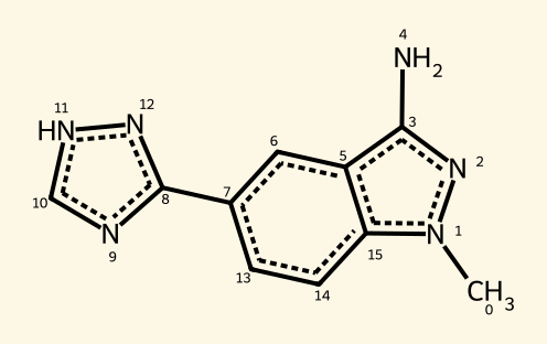 Cn1nc(N)c2cc(-c3nc[nH]n3)ccc21